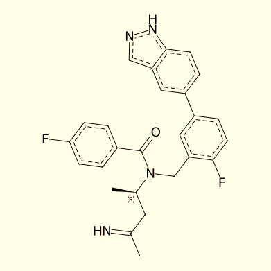 CC(=N)C[C@@H](C)N(Cc1cc(-c2ccc3[nH]ncc3c2)ccc1F)C(=O)c1ccc(F)cc1